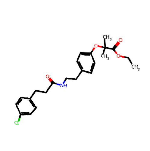 CCOC(=O)C(C)(C)Oc1ccc(CCNC(=O)CCc2ccc(Cl)cc2)cc1